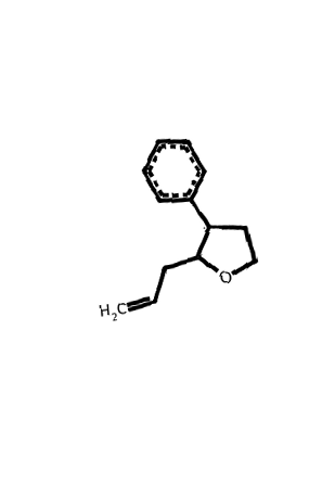 C=CCC1OCC[C]1c1ccccc1